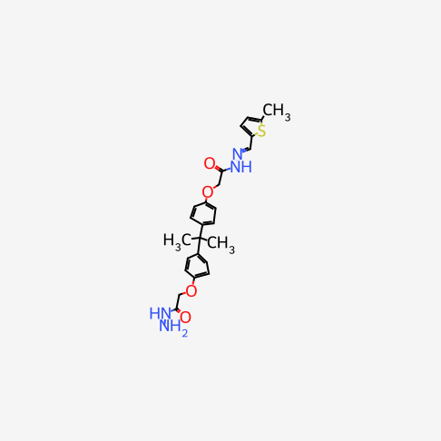 Cc1ccc(C=NNC(=O)COc2ccc(C(C)(C)c3ccc(OCC(=O)NN)cc3)cc2)s1